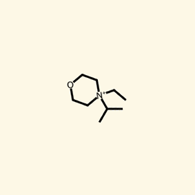 CC[N+]1(C(C)C)CCOCC1